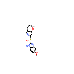 COc1ccc2[nH]c([S+]([O-])Cc3cc4c(cn3)CCC(C)(C)O4)nc2c1